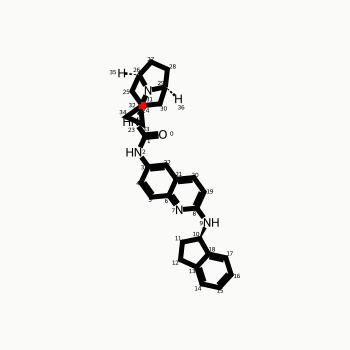 O=C(Nc1ccc2nc(N[C@@H]3CCc4ccccc43)ccc2c1)N[C@@H]1C[C@H]2CC[C@@H](C1)N2C1CC1